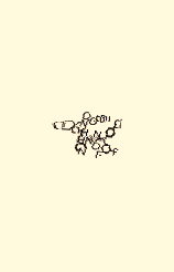 CC(C)(C)OC(=O)N1C[C@@H](CCc2ccncc2NC(=O)[C@@H](N)[C@@H](c2ccc(Cl)cc2)c2cc(F)cc(F)c2)OC2(CCOCC2)C1